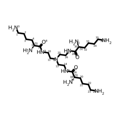 NCCCC[C@H](N)C(=O)NCCN(CCNC(=O)[C@@H](N)CCCCN)CCNC(=O)[C@@H](N)CCCCN